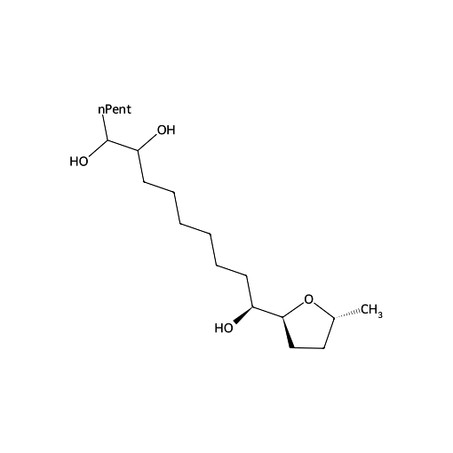 CCCCCC(O)C(O)CCCCCC[C@H](O)[C@@H]1CC[C@@H](C)O1